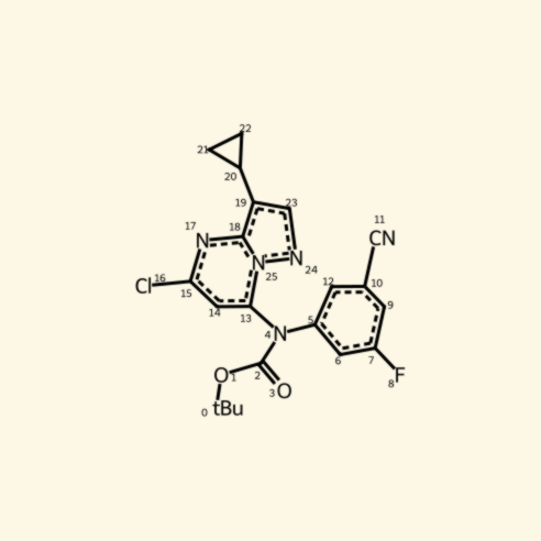 CC(C)(C)OC(=O)N(c1cc(F)cc(C#N)c1)c1cc(Cl)nc2c(C3CC3)cnn12